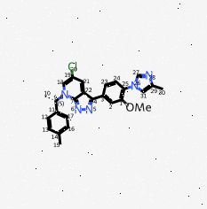 COc1cc(-c2nnc3n([C@@H](C)c4ccc(C)cc4)cc(Cl)cc2-3)ccc1-n1cnc(C)c1